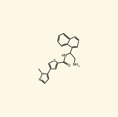 Cn1nccc1-c1csc(C(=O)NC(CN)c2cccc3ccccc23)c1